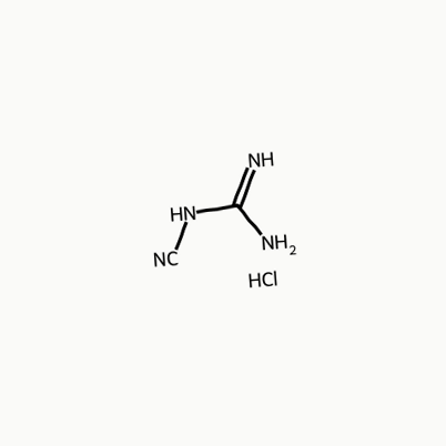 Cl.N#CNC(=N)N